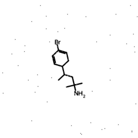 CC(CC(C)(C)N)C1C=CC(Br)=CC1